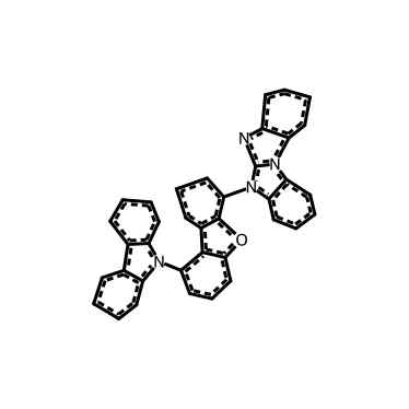 c1ccc2c(c1)nc1n(-c3cccc4c3oc3cccc(-n5c6ccccc6c6ccccc65)c34)c3ccccc3n21